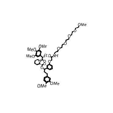 CC[C@H](C(=O)N1CCCC[C@H]1C(=O)OC(CCc1ccc(OC)c(OC)c1)c1cccc(OCC(=O)NCCOCCOCCOCCOCCOC)c1)c1cc(OC)c(OC)c(OC)c1